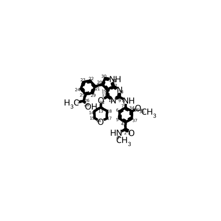 CNC(=O)c1ccc(Nc2nc(OC3CCOCC3)c3c(-c4cccc(C(C)O)c4)c[nH]c3n2)c(OC)c1